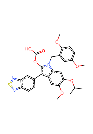 COc1ccc(OC)c(Cn2c(OC(=O)O)c(-c3ccc4nsnc4c3)c3cc(OC)c(OC(C)C)cc32)c1